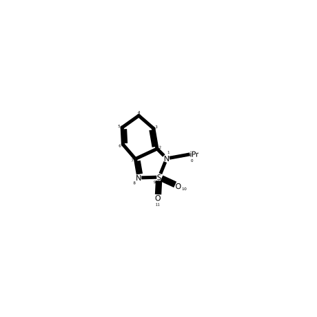 CC(C)N1C2=CCC=CC2=NS1(=O)=O